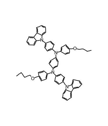 CCCCOc1ccc(N(c2ccc(N(c3ccc(OCCCC)cc3)c3ccc(-n4c5ccccc5c5ccccc54)cc3)cc2)c2ccc(-n3c4ccccc4c4ccccc43)cc2)cc1